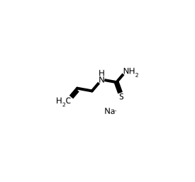 C=CCNC(N)=S.[Na]